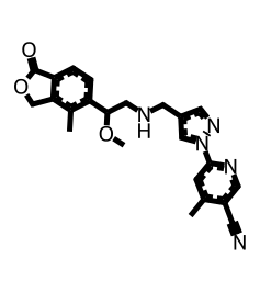 COC(CNCc1cnn(-c2cc(C)c(C#N)cn2)c1)c1ccc2c(c1C)COC2=O